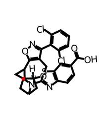 O=C(O)c1ccc2nc(N3C4CC3[C@H](OCc3c(-c5c(Cl)cccc5Cl)noc3C3CC3)C4)sc2c1